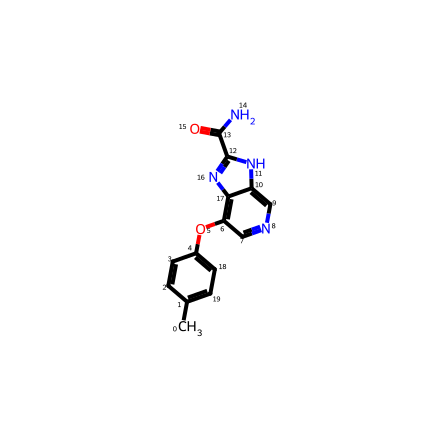 Cc1ccc(Oc2cncc3[nH]c(C(N)=O)nc23)cc1